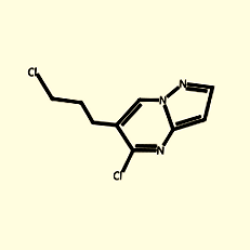 ClCCCc1cn2nccc2nc1Cl